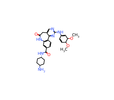 COC1C=CC(Nc2ncc3c(n2)-c2ccc(C(=O)N[C@H]4CC[C@H](N)CC4)cc2NC(=O)C3)=CC1OC